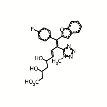 Cn1nnnc1C(/C=C/C(O)CC(O)CC(=O)O)=C(/c1ccc(F)cc1)c1cc2ccccc2o1